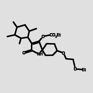 CCOCCOC1CCC2(CC1)NC(=O)C(C1C(C)CC(C)C(C)C1C)=C2OC(=O)OCC